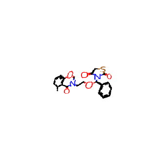 Cc1cccc2c1C(=O)N(CCOC(c1ccccc1)N1C(=O)CSC1=O)CO2